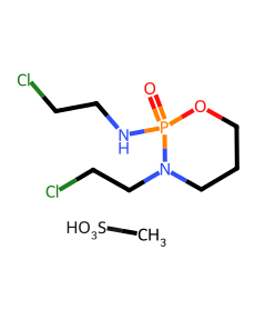 CS(=O)(=O)O.O=P1(NCCCl)OCCCN1CCCl